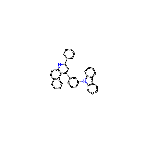 c1ccc(-c2cc(-c3cccc(-n4c5ccccc5c5ccccc54)c3)c3c(ccc4ccccc43)n2)cc1